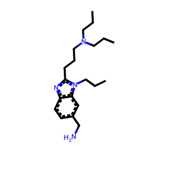 CCCN(CCC)CCCc1nc2ccc(CN)cc2n1CCC